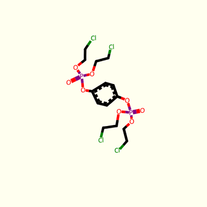 O=P(OCCCl)(OCCCl)Oc1ccc(OP(=O)(OCCCl)OCCCl)cc1